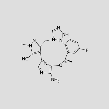 C[C@H]1Oc2nc(cnc2N)-c2c(nn(C)c2C#N)CN2C=NNN2c2ccc(F)cc21